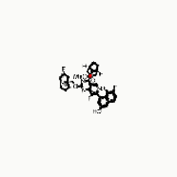 CCc1c(F)ccc2cc(O)cc(-c3ncc4c(N5C[C@H]6CC[C@@H](C5)C6C(=O)OC)nc(OC[C@@]56CCCN5C[C@H](F)C6)nc4c3F)c12